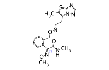 CNC(=O)/C(=N/OC)c1ccccc1CON=CCc1c(C)sc2ncnn12